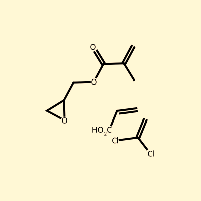 C=C(C)C(=O)OCC1CO1.C=C(Cl)Cl.C=CC(=O)O